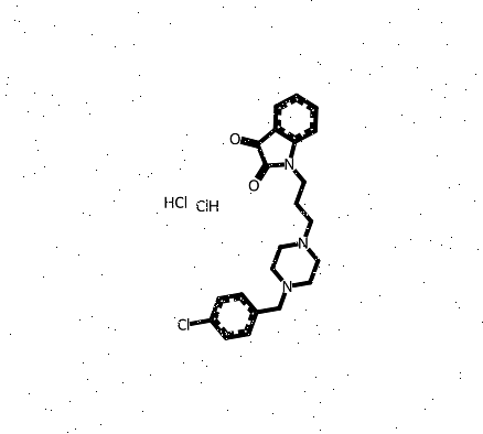 Cl.Cl.O=C1C(=O)N(CCCN2CCN(Cc3ccc(Cl)cc3)CC2)c2ccccc21